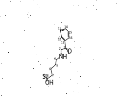 O=C(CNCCCCC(O)=S)c1ccccc1